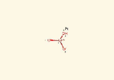 [O-][Br+2]([O-])O.[Pt]